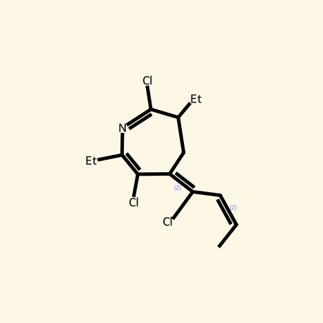 C/C=C\C(Cl)=C1/CC(CC)C(Cl)=NC(CC)=C1Cl